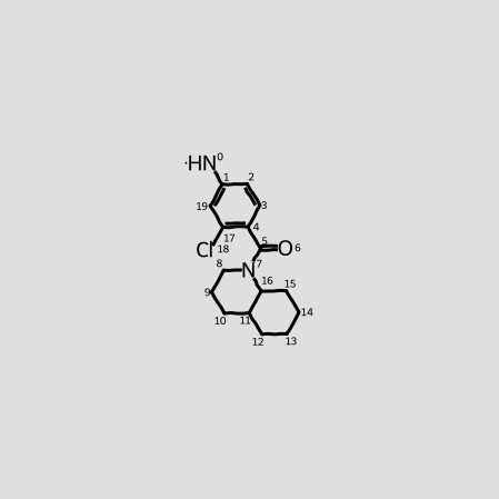 [NH]c1ccc(C(=O)N2CCCC3CCCCC32)c(Cl)c1